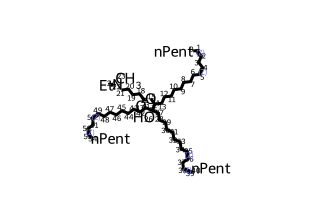 CCCCC/C=C\C/C=C\CCCCCCCCC(OC(=O)CCCCN(C)CC)C(O)(CCCCCCCC/C=C\C/C=C\CCCCC)CCCCCCCC/C=C\C/C=C\CCCCC